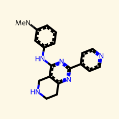 CNc1cccc(Nc2nc(-c3ccncc3)nc3c2CNCC3)c1